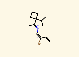 C=C/C(Br)=C\N=C(/C)C1(C(C)C)CCC1